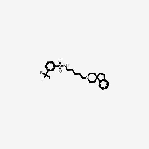 O=S(=O)(NCCCCCN1CCC2(CCc3ccccc32)CC1)c1cccc(C(F)(F)F)c1